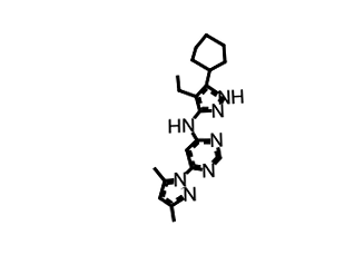 CCc1c(Nc2cc(-n3nc(C)cc3C)ncn2)n[nH]c1C1CCCCC1